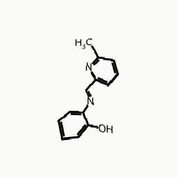 Cc1cccc(/C=N/c2ccccc2O)n1